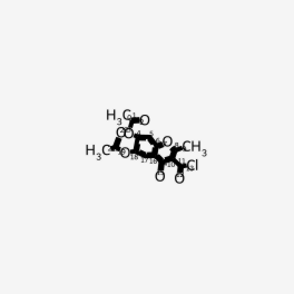 CC(=O)Oc1cc2oc(C)c(C(=O)Cl)c(=O)c2cc1OC(C)=O